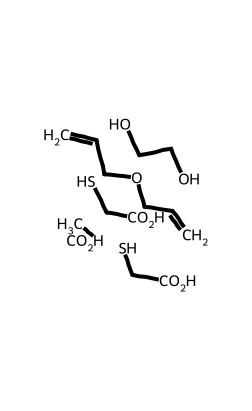 C=CCOCC=C.CC(=O)O.O=C(O)CS.O=C(O)CS.OCCO